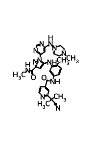 CNC(=O)c1cc(Nc2cc(NC(=O)c3ccnc(C(C)(C)C#N)c3)ccc2C)n(-c2cc(NN3CCN(C)CC3)ncn2)n1